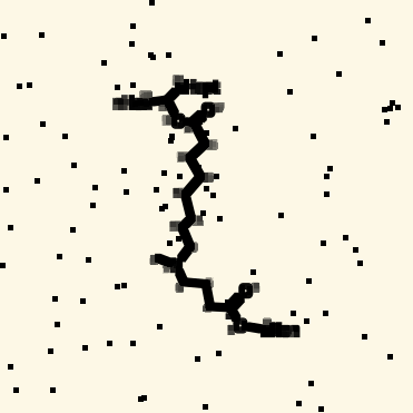 CCCCCCCCCOC(=O)CCCN(C)CCCCCCCC(=O)OC(CCCCCC)CCCCCCC